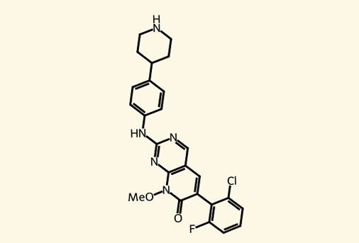 COn1c(=O)c(-c2c(F)cccc2Cl)cc2cnc(Nc3ccc(C4CCNCC4)cc3)nc21